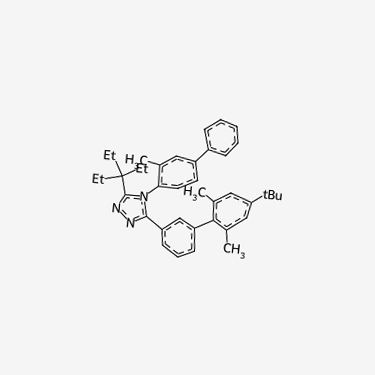 CCC(CC)(CC)c1nnc(-c2cccc(-c3c(C)cc(C(C)(C)C)cc3C)c2)n1-c1ccc(-c2ccccc2)cc1C